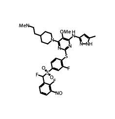 CNCCC1CCN(c2nc(Sc3ccc(S(=O)(=O)C(F)c4cccc(N=O)c4F)cc3F)nc(Nc3cc(C)[nH]n3)c2OC)CC1